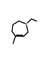 CC1=CCN(CI)CCC1